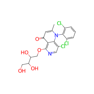 Cc1cc(=O)c2c(OCC(O)C(O)CO)ncc(Cl)c2n1-c1c(Cl)cccc1Cl